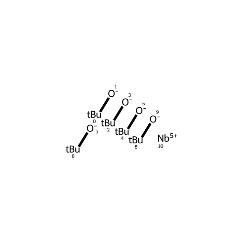 CC(C)(C)[O-].CC(C)(C)[O-].CC(C)(C)[O-].CC(C)(C)[O-].CC(C)(C)[O-].[Nb+5]